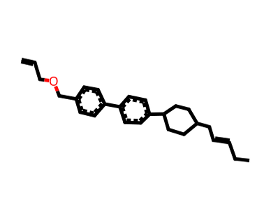 C=CCOCc1ccc(-c2ccc(C3CCC(CC=CCC)CC3)cc2)cc1